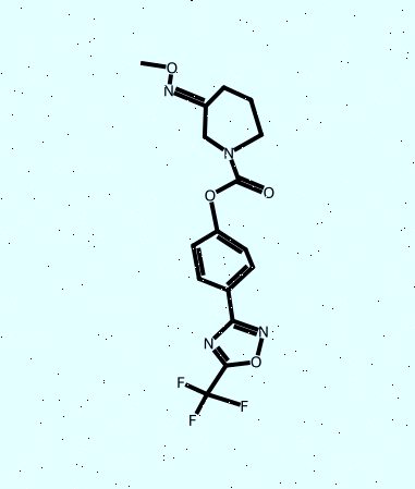 CO/N=C1\CCCN(C(=O)Oc2ccc(-c3noc(C(F)(F)F)n3)cc2)C1